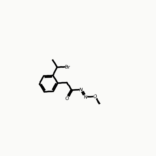 CON=NC(=O)Cc1ccccc1C(C)Br